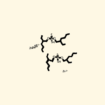 CCCCC(CC)COP(=S)(S)OCC(CC)CCCC.CCCCC(CC)COP(=S)(S)OCC(CC)CCCC.[S-2].[S-2].[Zn+2].[Zn+2].[Zn+2]